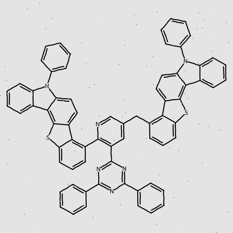 c1ccc(-c2nc(-c3ccccc3)nc(-c3cc(Cc4cccc5sc6c(ccc7c6c6ccccc6n7-c6ccccc6)c45)cnc3-c3cccc4sc5c(ccc6c5c5ccccc5n6-c5ccccc5)c34)n2)cc1